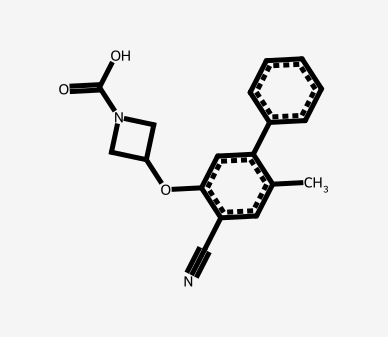 Cc1cc(C#N)c(OC2CN(C(=O)O)C2)cc1-c1ccccc1